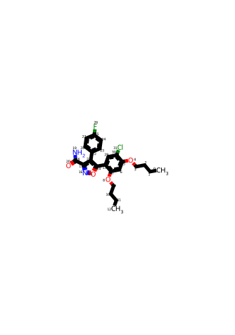 CCCCOc1cc(OCCCC)c(-c2onc(C(N)=O)c2-c2ccc(F)cc2)cc1Cl